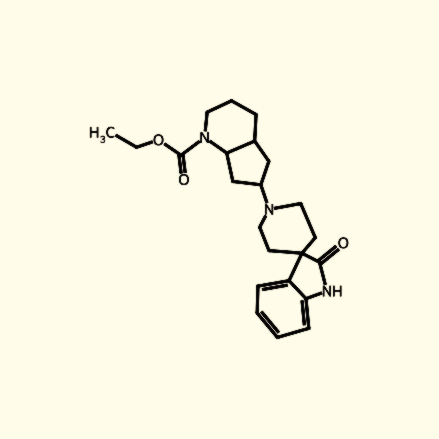 CCOC(=O)N1CCCC2CC(N3CCC4(CC3)C(=O)Nc3ccccc34)CC21